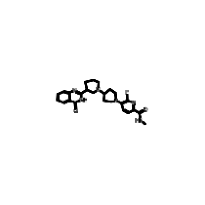 CNC(=O)c1ccc(N2CCC(N3CCCC(c4nc5ccccc5c(=O)[nH]4)C3)CC2)c(F)n1